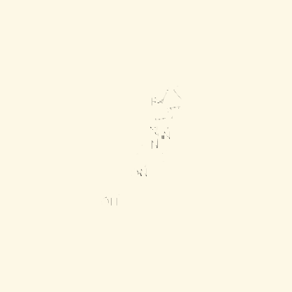 OCCCCON=C1CCN(c2ncc(-c3ccccc3F)cn2)CC1